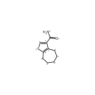 NC(=O)c1csc2c1CCCCC2